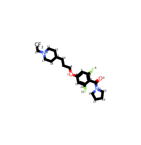 O=C(c1c(F)cc(OCCCC2CCN(CC(F)(F)F)CC2)cc1F)N1CCCC1